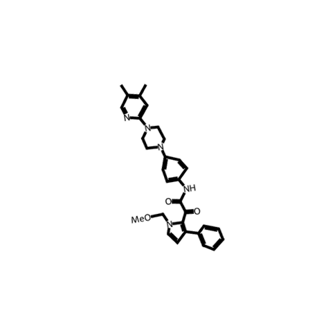 COCn1ccc(-c2ccccc2)c1C(=O)C(=O)Nc1ccc(N2CCN(c3cc(C)c(C)cn3)CC2)cc1